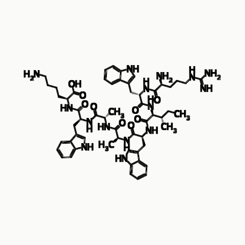 CC[C@H](C)[C@H](NC(=O)[C@H](Cc1c[nH]c2ccccc12)NC(=O)[C@@H](N)CCCNC(=N)N)C(=O)N[C@@H](Cc1c[nH]c2ccccc12)C(=O)N[C@@H](C)C(=O)N[C@@H](C)C(=O)N[C@@H](Cc1c[nH]c2ccccc12)C(=O)N[C@@H](CCCCN)C(=O)O